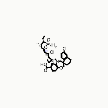 CC[C@H]([C@@H](C)C/C=C/[C@H](O)[C@@H]1CC[C@H]1CN1CC2(CCCc3cc(Cl)ccc32)COc2ccc(C(=O)O)cc21)S(N)(=O)=O